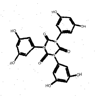 O=c1n(-c2cc(O)cc(O)c2)c(=O)n(-c2cc(O)cc(O)c2)c(=O)n1-c1cc(O)cc(O)c1